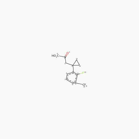 O=C(O)C(=O)CC1(c2cccc(C(F)(F)F)c2F)CC1